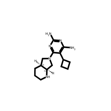 Nc1nc(N)c(C2CCC2)c(N2C[C@@H]3CCCN[C@@H]3C2)n1